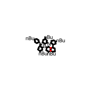 CCCCc1ccc(N2c3ccc(CCCC)cc3B3c4cc(CCCC)ccc4N(c4ccc(CCCC)cc4-c4ccccc4)c4cc(CCCC)cc2c43)cc1